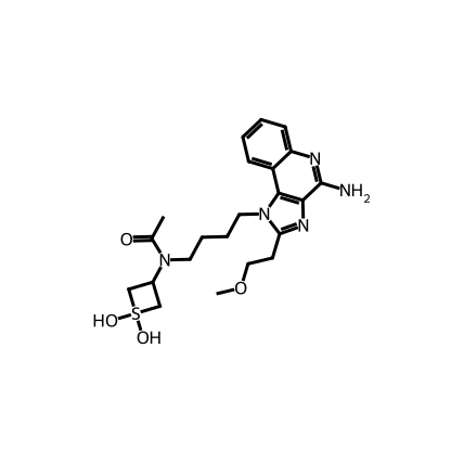 COCCc1nc2c(N)nc3ccccc3c2n1CCCCN(C(C)=O)C1CS(O)(O)C1